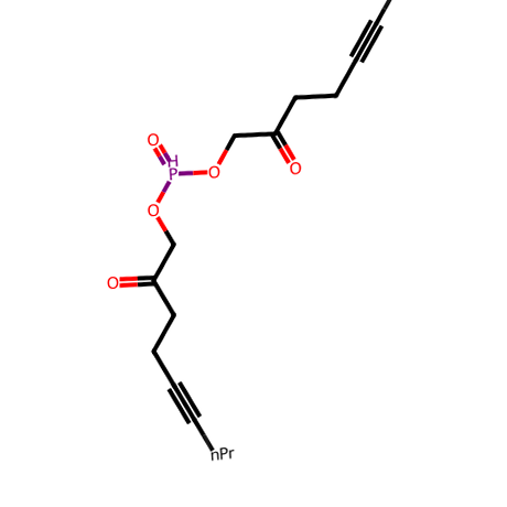 CCCC#CCCC(=O)CO[PH](=O)OCC(=O)CCC#CCCC